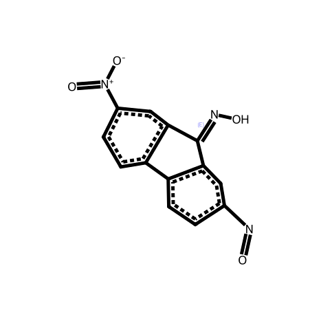 O=Nc1ccc2c(c1)/C(=N\O)c1cc([N+](=O)[O-])ccc1-2